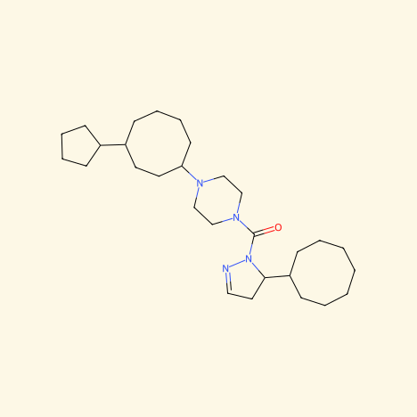 O=C(N1CCN(C2CCCCC(C3CCCC3)CC2)CC1)N1N=CCC1C1CCCCCCC1